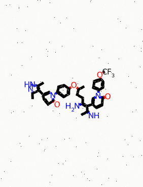 CC(=N)/C(=C(\N)CCC(C)Oc1ccc(-n2cc(-c3c(C)n[nH]c3C)ccc2=O)cc1)c1ccc(=O)n(-c2ccc(OC(F)(F)F)cc2)c1